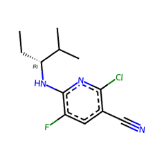 CC[C@@H](Nc1nc(Cl)c(C#N)cc1F)C(C)C